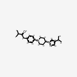 CC(C)C(=O)Cc1ccc(N2CCC(n3cc(C(C)C)cn3)CC2)cc1